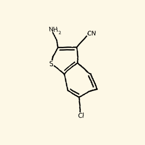 N#Cc1c(N)sc2cc(Cl)ccc12